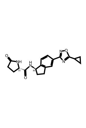 O=C1CC[C@@H](C(=O)N[C@@H]2CCc3cc(-c4noc(C5CC5)n4)ccc32)N1